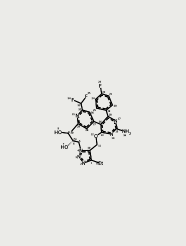 CCc1nnn(C[C@H](O)CO)c1COc1nc(N)nc(-c2ccc(F)cc2)c1-c1cc(C)nc(C(F)F)c1